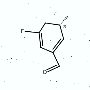 C[C@@H]1C=C(C=O)C=C(F)C1